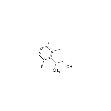 C[C](CO)c1c(F)ccc(F)c1F